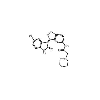 O=C(CN1CCCCC1)Nc1ccc2c(c1)C(=C1C(=O)Nc3ccc(Cl)cc31)OC2